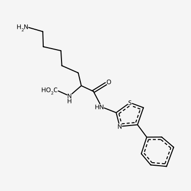 NCCCCCC(NC(=O)O)C(=O)Nc1nc(-c2ccccc2)cs1